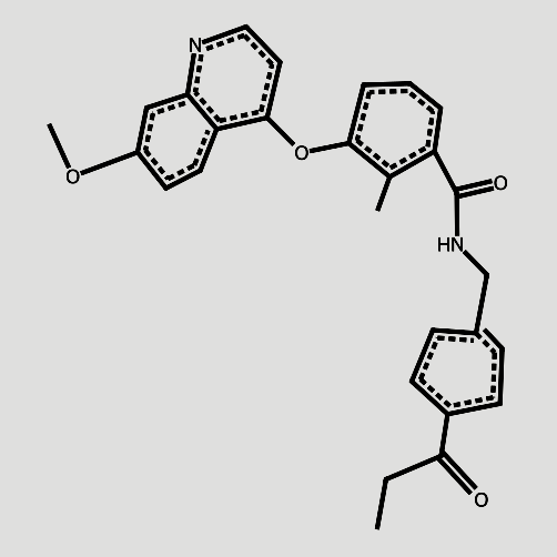 CCC(=O)c1ccc(CNC(=O)c2cccc(Oc3ccnc4cc(OC)ccc34)c2C)cc1